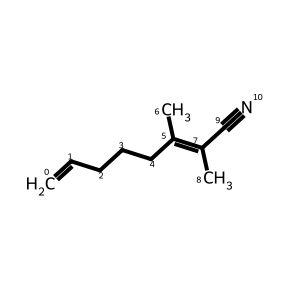 C=CCCC/C(C)=C(\C)C#N